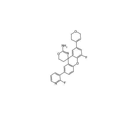 NC1=NC2(CCO1)c1cc(-c3cccnc3F)ccc1Oc1c(F)cc(C3=CCOCC3)cc12